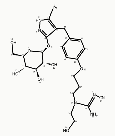 CC(C)c1[nH]nc(O[C@@H]2O[C@H](CO)[C@@H](O)[C@H](O)[C@H]2O)c1Cc1ccc(OCCCN(CCO)C(N)=NC#N)cc1